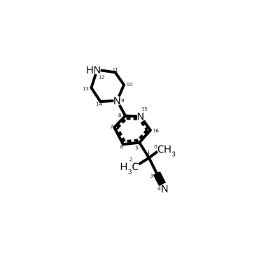 CC(C)(C#N)c1ccc(N2CCNCC2)nc1